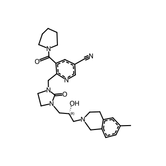 Cc1ccc2c(c1)CCN(C[C@@H](O)CN1CCN(Cc3ncc(C#N)cc3C(=O)N3CCCCC3)C1=O)C2